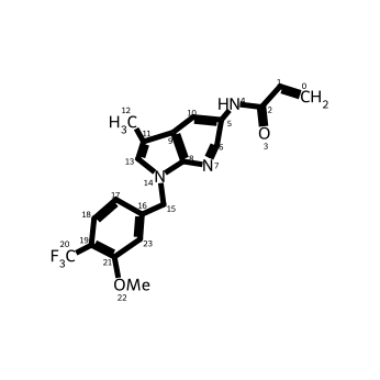 C=CC(=O)Nc1cnc2c(c1)c(C)cn2Cc1ccc(C(F)(F)F)c(OC)c1